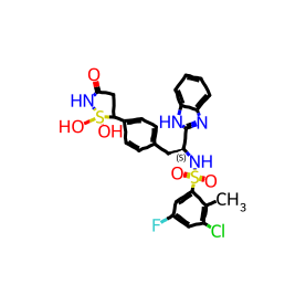 Cc1c(Cl)cc(F)cc1S(=O)(=O)N[C@@H](Cc1ccc(C2CC(=O)NS2(O)O)cc1)c1nc2ccccc2[nH]1